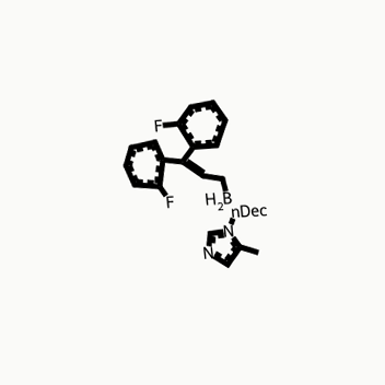 BCC=C(c1ccccc1F)c1ccccc1F.CCCCCCCCCCn1cncc1C